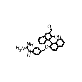 N=C(N)Nc1ccc(COc2ccc3ccccc3c2-c2c(O)c(C=O)cc3ccccc23)cc1